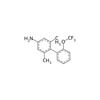 Cc1cc(N)cc(C)c1-c1ccccc1OC(F)(F)F